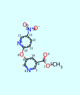 COC(=O)c1cncc(Oc2ccc([N+](=O)[O-])cn2)c1